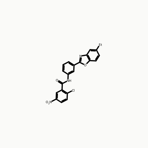 CCc1ccc2oc(-c3cccc(NC(=O)c4cc([N+](=O)[O-])ccc4Cl)c3)nc2c1